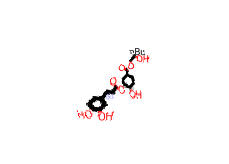 CCCCC(O)COC(=O)C1CC[C@@H](O)[C@H](OC(=O)/C=C/c2ccc(O)c(O)c2)C1